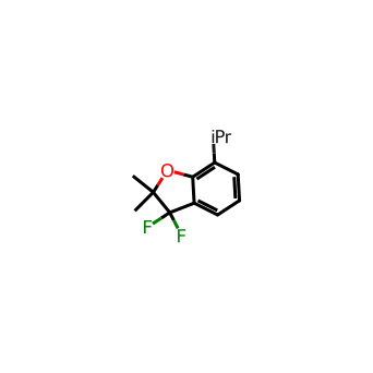 CC(C)c1cccc2c1OC(C)(C)C2(F)F